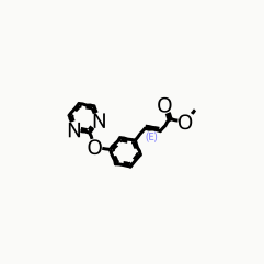 COC(=O)/C=C/c1cccc(Oc2ncccn2)c1